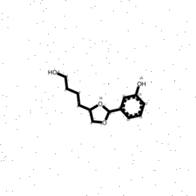 OCCCCC1COC(c2cccc(O)c2)O1